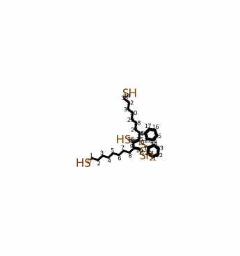 SCCCCCCCCC1=C(S)S(c2ccccc2)(c2ccccc2)C(CCCCCCCCS)=C1S